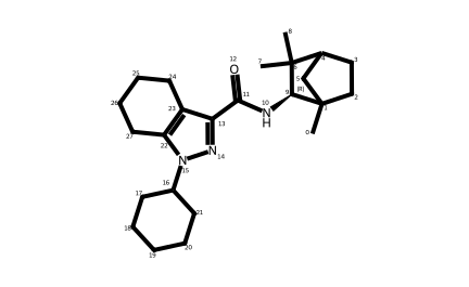 CC12CCC(C1)C(C)(C)[C@@H]2NC(=O)c1nn(C2CCCCC2)c2c1CCCC2